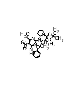 [CH2]Cc1nc(N(C)[C@H]2CCCN2C(=O)OC(C)(C)C)nc(Nc2ccccc2OC)c1[N+](=O)[O-]